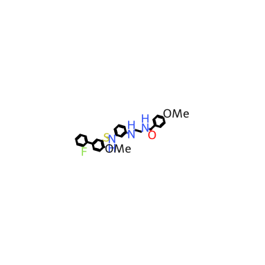 COc1ccc(C(=O)NCCNc2cccc(NSc3cc(-c4ccccc4F)ccc3OC)c2)cc1